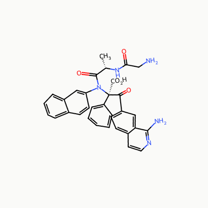 C[C@H](NC(=O)CN)C(=O)N(c1ccc2ccccc2c1)[C@@](C(=O)O)(C(=O)c1ccc2ccnc(N)c2c1)c1ccccc1